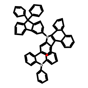 c1ccc(N(c2ccccc2)c2ccccc2-c2ccc3c4c5ccccc5c5ccccc5c4n(-c4ccc5c(c4)-c4ccccc4C5(c4ccccc4)c4ccccc4)c3c2)cc1